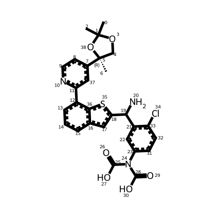 CC1(C)OC[C@@](C)(c2ccnc(-c3cccc4cc(C(N)c5cc(N(C(=O)O)C(=O)O)ccc5Cl)sc34)c2)O1